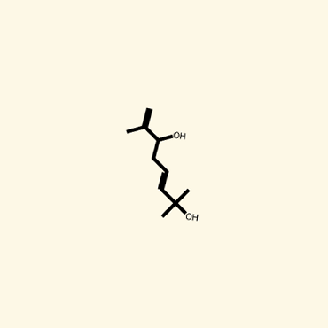 C=C(C)C(O)CC=CC(C)(C)O